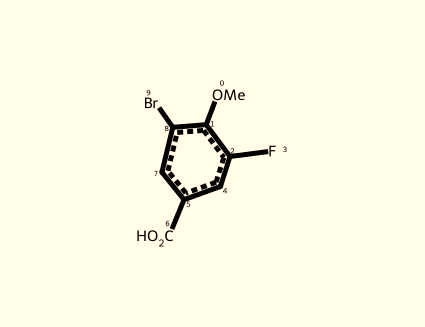 COc1c(F)cc(C(=O)O)cc1Br